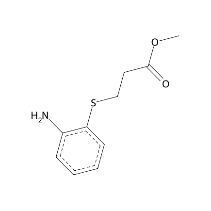 COC(=O)CCSc1ccccc1N